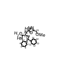 C=C1Nc2ccccc2C(c2ccccc2)=NC1Nc1nnc(COC)o1